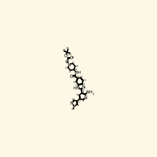 Cn1cc(-c2cnc(N)c(-c3nc4ccc(C(=O)NC5CCN(OC(=O)OC(C)(C)C)CC5)cc4[nH]3)c2)cn1